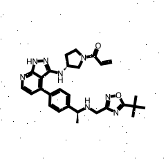 C=CC(=O)N1CC[C@@H](Nc2n[nH]c3nccc(-c4ccc([C@H](C)NCc5noc(C(C)(C)C)n5)cc4)c23)C1